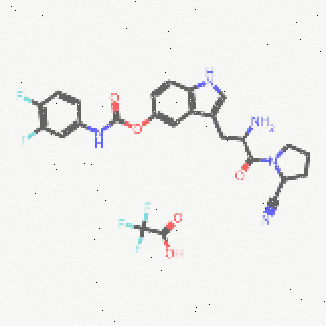 N#CC1CCCN1C(=O)C(N)Cc1c[nH]c2ccc(OC(=O)Nc3ccc(F)c(F)c3)cc12.O=C(O)C(F)(F)F